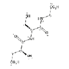 N[C@@H](CC(=O)O)C(=O)N[C@@H](CS)C(=O)NCC(=O)O